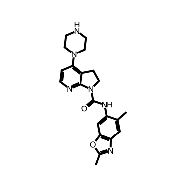 Cc1nc2cc(C)c(NC(=O)N3CCc4c(N5CCNCC5)ccnc43)cc2o1